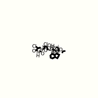 CC(C)OC(=O)[C@@H](C)NP(=O)(OC[C@H]1OC(n2cc(Cl)c(=O)[nH]c2=O)[C@](C)(Cl)[C@@H]1O)Oc1cccc2ccccc12